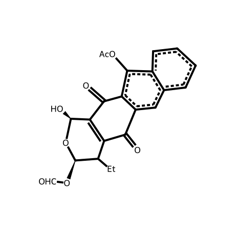 CCC1C2=C(C(=O)c3c(cc4ccccc4c3OC(C)=O)C2=O)[C@H](O)O[C@@H]1OC=O